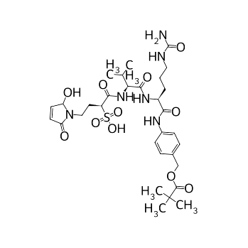 CC(C)[C@H](NC(=O)[C@H](CCN1C(=O)C=CC1O)S(=O)(=O)O)C(=O)N[C@@H](CCCNC(N)=O)C(=O)Nc1ccc(COC(=O)C(C)(C)C)cc1